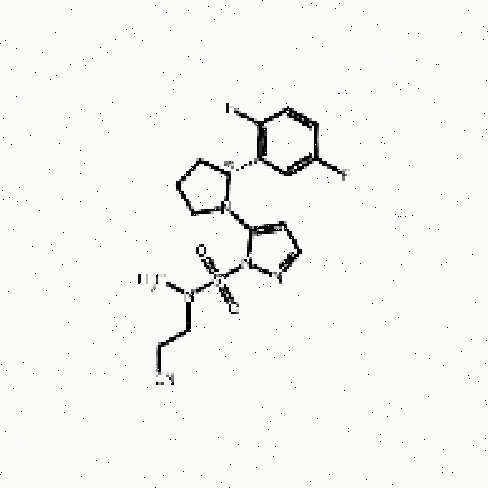 CN(CCC#N)S(=O)(=O)n1nccc1N1CCC[C@@H]1c1cc(F)ccc1F